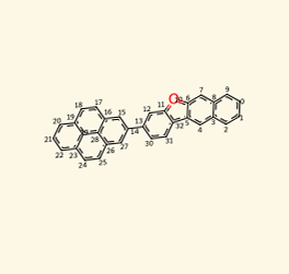 c1ccc2cc3c(cc2c1)oc1cc(-c2cc4ccc5cccc6ccc(c2)c4c56)ccc13